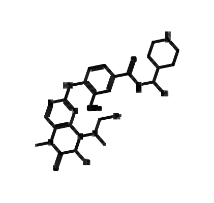 CCC(NC(=O)c1ccc(Nc2ncc3c(n2)N(N(C)CC(C)C)C(CC)C(=O)N3C)c(OC)c1)C1CCNCC1